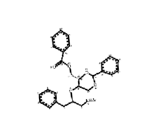 CC(=O)NCC(Cc1ccccc1)OC1COC(c2ccccc2)O[C@H]1COC(=O)c1ccccc1